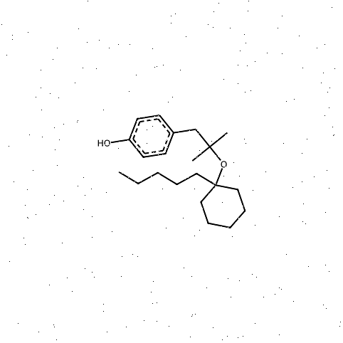 CCCCCC1(OC(C)(C)Cc2ccc(O)cc2)CCCCC1